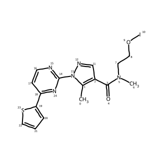 Cc1c(C(=O)N(C)CCOI)cnn1-c1nccc(-c2cccs2)n1